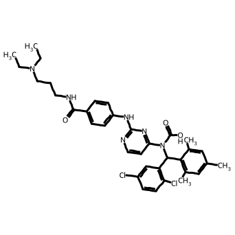 CCN(CC)CCCNC(=O)c1ccc(Nc2nccc(N(C(=O)O)C(c3cc(Cl)ccc3Cl)c3c(C)cc(C)cc3C)n2)cc1